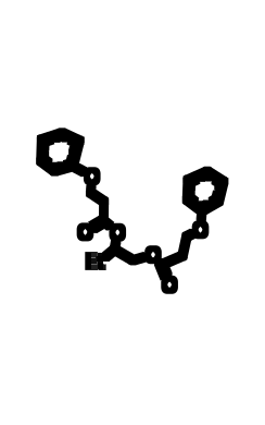 [CH2]CC(COC(=O)CCOc1ccccc1)OC(=O)CCOc1ccccc1